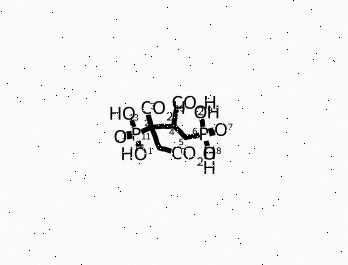 O=C(O)CC(C(=O)O)(C(CP(=O)(O)O)C(=O)O)P(=O)(O)O